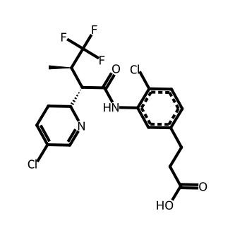 C[C@H]([C@H](C(=O)Nc1cc(CCC(=O)O)ccc1Cl)C1CC=C(Cl)C=N1)C(F)(F)F